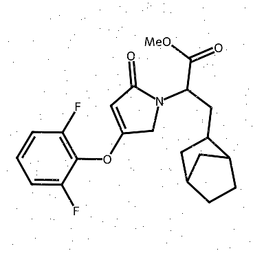 COC(=O)C(CC1CC2CCC1C2)N1CC(Oc2c(F)cccc2F)=CC1=O